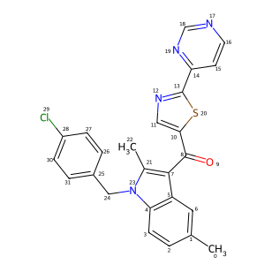 Cc1ccc2c(c1)c(C(=O)c1cnc(-c3ccncn3)s1)c(C)n2Cc1ccc(Cl)cc1